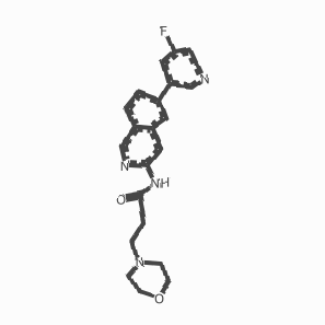 O=C(CCN1CCOCC1)Nc1cc2cc(-c3cncc(F)c3)ccc2cn1